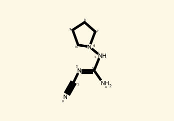 N#CN=C(N)NN1CCCC1